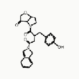 O=C1COC2CCN(C(=O)C(CC(=O)N3C=C4CC=CC=C4C3)Cc3ccc(O)cc3)C12